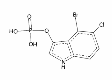 O=P(O)(O)Oc1c[nH]c2ccc(Cl)c(Br)c12